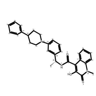 C[C@@H](NC(=O)c1c(O)c(=O)n(C)c2ccccc12)c1cccc(N2CCC(c3ccccc3)CC2)c1